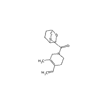 C=CC1=C(C)CN(C(=O)N2CC3CCC2CO3)CC1